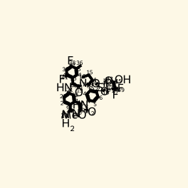 COC(=O)Nc1ccc(S(=O)(=O)C(C)C)c([C@H]2CCCN2C(=O)[C@@H](Nc2ccc3c(N)nccc3c2)c2cc(C)c(F)cc2F)c1.O=C(O)C(F)(F)F